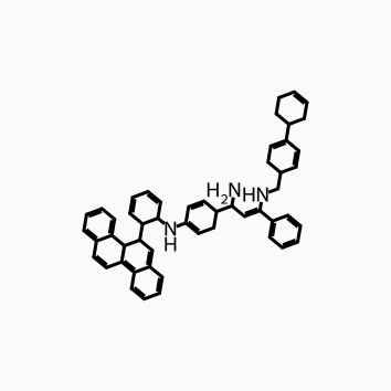 NC(/C=C(\NCC1C=CC(C2CC=CCC2)=CC1)c1ccccc1)C1C=CC(NC2C=CC=CC2C2C=c3ccccc3=C3C=Cc4ccccc4C32)=CC1